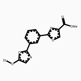 CCOc1cnc(-c2[c]c(-c3nc(C(=O)OC)co3)ccc2)o1